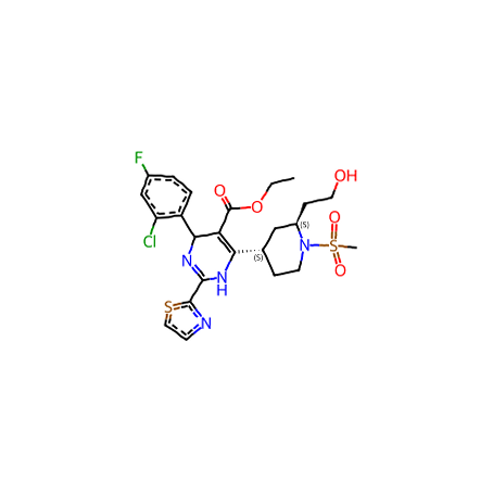 CCOC(=O)C1=C([C@H]2CCN(S(C)(=O)=O)[C@H](CCO)C2)NC(c2nccs2)=NC1c1ccc(F)cc1Cl